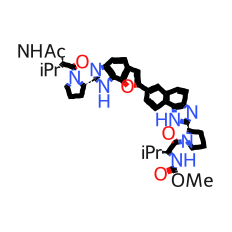 COC(=O)N[C@H](C(=O)N1CCC[C@H]1c1nc2ccc3cc(-c4cc5ccc6nc([C@@H]7CCCN7C(=O)[C@@H](NC(C)=O)C(C)C)[nH]c6c5o4)ccc3c2[nH]1)C(C)C